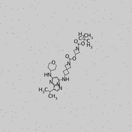 CC(C)c1cnn2c(NC3CC4(C3)CN(C(=O)OC3CN(C(=O)OC(C)(C)C)C3)C4)cc(NC3CCOCC3)nc12